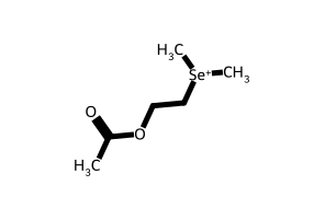 CC(=O)OCC[Se+](C)C